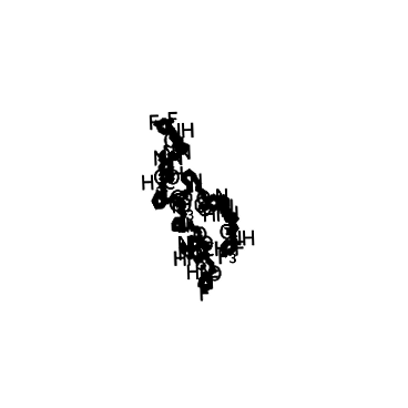 COc1cc2c(Nc3ncc(CC(=O)Nc4ccc(F)cc4F)s3)ncnc2cc1OCCCN1CCCCC1CCOP(=O)(OCCC1CCCCN1CCCOc1cc2ncnc(Nc3ncc(CC(=O)Nc4ccc(F)cc4F)s3)c2cc1OC)OCCC1CCCCN1CCCOc1cc2ncnc(Nc3ncc(CC(=O)Nc4ccc(F)cc4F)s3)c2cc1OC